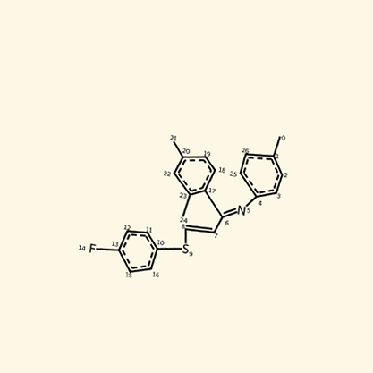 Cc1ccc(/N=C(/C=C/Sc2ccc(F)cc2)c2ccc(C)cc2C)cc1